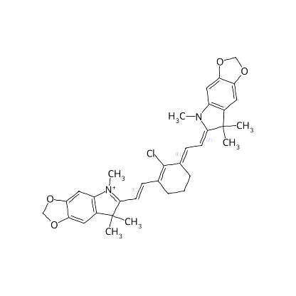 CN1/C(=C\C=C2/CCCC(/C=C/C3=[N+](C)c4cc5c(cc4C3(C)C)OCO5)=C2Cl)C(C)(C)c2cc3c(cc21)OCO3